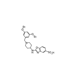 CCOc1cc(CN2CCC(Nc3nc4cc(S(=O)(=O)O)ccc4o3)CC2)cc(OCC)c1